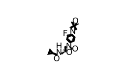 O=C(NC[C@H]1CN(c2ccc(N3CC4(COC4)C3)c(F)c2)C(=O)O1)C1CC1